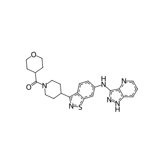 O=C(C1CCOCC1)N1CCC(c2nsc3cc(Nc4n[nH]c5cccnc45)ccc23)CC1